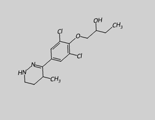 CCC(O)COc1c(Cl)cc(C2=NNCCC2C)cc1Cl